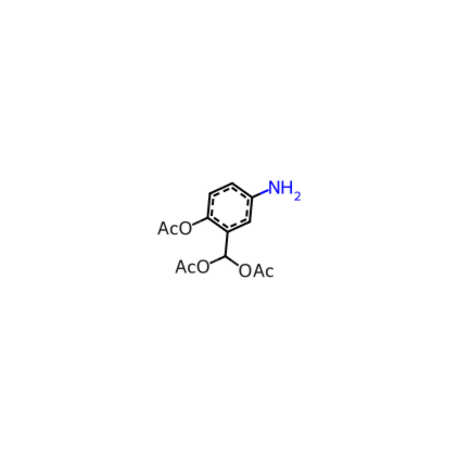 CC(=O)Oc1ccc(N)cc1C(OC(C)=O)OC(C)=O